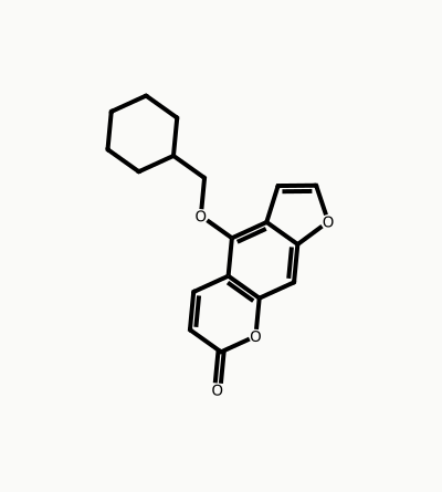 O=c1ccc2c(OCC3CCCCC3)c3ccoc3cc2o1